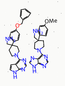 COc1ccc(C2(CN)CCN(c3ncnc4[nH]cnc34)CC2)cc1.NCC1(c2ccc(OCc3ccccc3)cc2)CCN(c2ncnc3[nH]ccc23)CC1